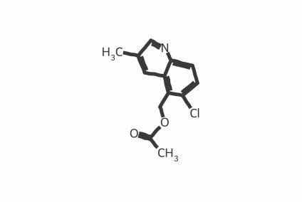 CC(=O)OCc1c(Cl)ccc2ncc(C)cc12